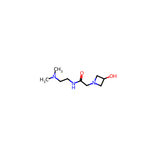 CN(C)CCNC(=O)CN1CC(O)C1